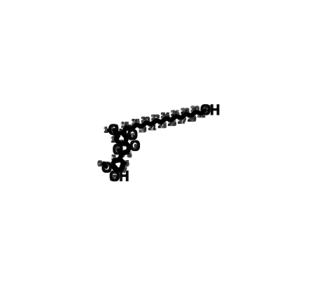 COc1cc(-c2cc(=O)c3c(cc(OC)c4cc(CCCCCCCCCCCCCCO)oc43)o2)ccc1O